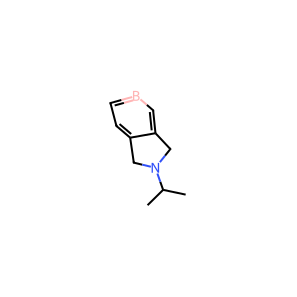 CC(C)N1Cc2cbccc2C1